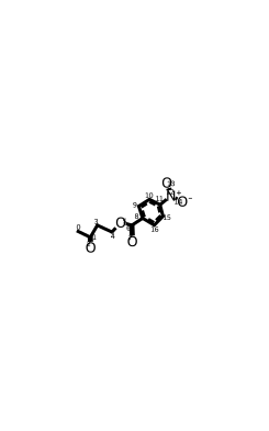 CC(=O)CCOC(=O)c1ccc([N+](=O)[O-])cc1